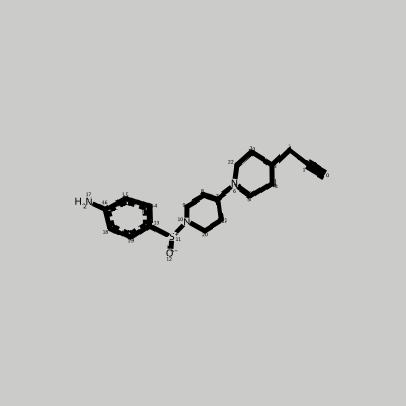 C#CCC1CCN(C2CCN([S+]([O-])c3ccc(N)cc3)CC2)CC1